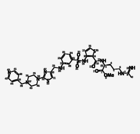 COC(=O)[C@H](CCCNC(C)=N)NC(=O)c1sccc1NS(=O)(=O)c1cccc(NCc2csc(N3CCN(Cc4ccncc4)CC3)n2)c1